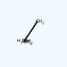 [CH2]CCCCCCCCCCCCCCCCCCCCCCC[CH2][Ge]([CH3])([CH3])[CH3]